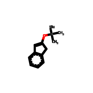 CC(C)(C)[Si](C)(C)OC1=Cc2ccccc2C1